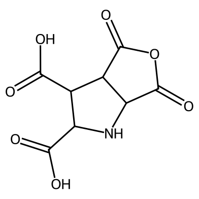 O=C(O)C1NC2C(=O)OC(=O)C2C1C(=O)O